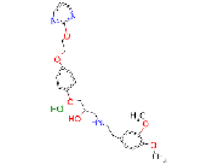 COc1ccc(CCNCC(O)COc2ccc(OCCOc3ncccn3)cc2)cc1OC.Cl